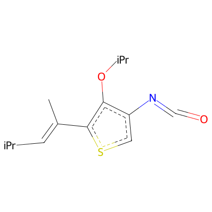 CC(=CC(C)C)c1scc(N=C=O)c1OC(C)C